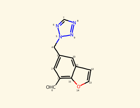 O=Cc1cc(Cn2ncnn2)cc2ccoc12